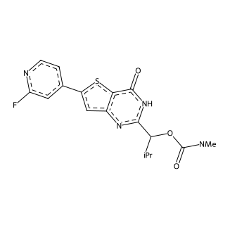 CNC(=O)OC(c1nc2cc(-c3ccnc(F)c3)sc2c(=O)[nH]1)C(C)C